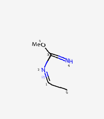 C/C=N\C(=N)OC